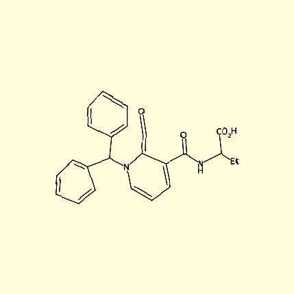 CCC(NC(=O)C1=CC=CN(C(c2ccccc2)c2ccccc2)C1=C=O)C(=O)O